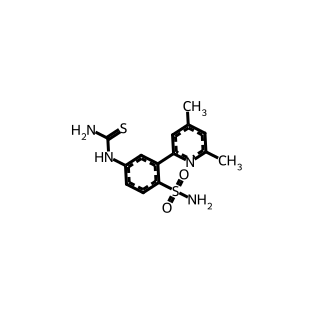 Cc1cc(C)nc(-c2cc(NC(N)=S)ccc2S(N)(=O)=O)c1